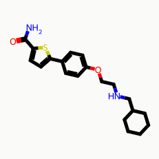 NC(=O)c1ccc(-c2ccc(OCCNCC3CCCCC3)cc2)s1